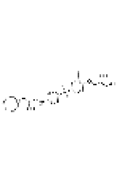 CC(C)(c1ccc(OCC(O)CN2CCCSCC2)cc1)c1ccc(OCC(O)CCl)c(I)c1